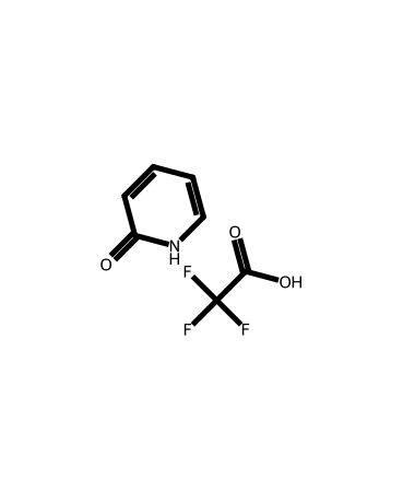 O=C(O)C(F)(F)F.O=c1cccc[nH]1